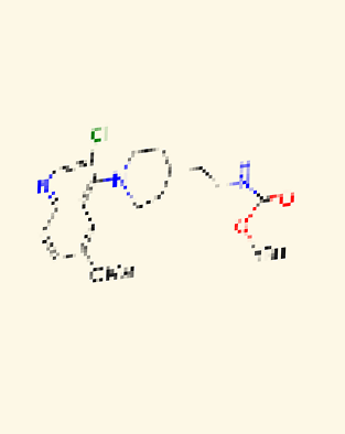 COc1ccc2ncc(Cl)c(N3CCC(CCNC(=O)OC(C)(C)C)CC3)c2c1